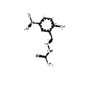 N=C(N)N/N=C/c1cc([N+](=O)[O-])ccc1O